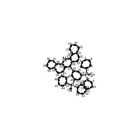 S=P(c1ccccc1)(c1ccccc1)c1cc(-c2c3ccc4ccccc4c3nc3c2ccc2ccccc23)cc(P(=S)(c2ccccc2)c2ccccc2)c1